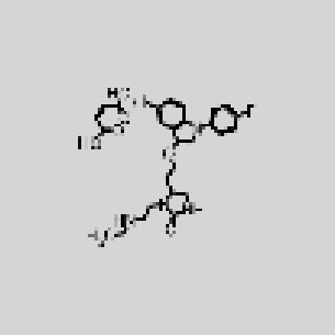 CCNCCN1C(=O)NCC1CCOc1cn(-c2ccc(F)cc2)c2ccc(Cl)cc12.O=C(O)/C=C\C(=O)O